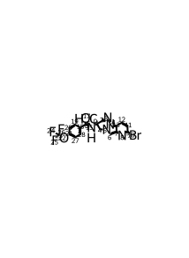 CC(C#N)(Cn1cc2nc(Br)ccc2n1)NC(=O)c1ccc(OC(F)(F)F)cc1